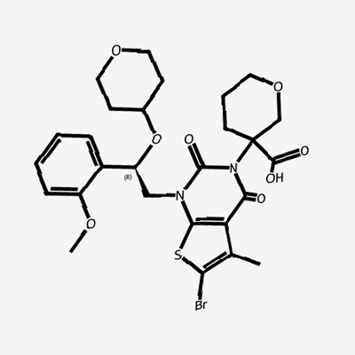 COc1ccccc1[C@H](Cn1c(=O)n(C2(C(=O)O)CCCOC2)c(=O)c2c(C)c(Br)sc21)OC1CCOCC1